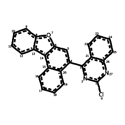 Clc1nc(-c2cc3oc4ccccc4c3c3ccccc23)c2ccccc2n1